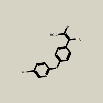 CCC(C(=O)O)=C(C)c1ccc(Oc2ccc([N+](=O)[O-])cn2)cc1